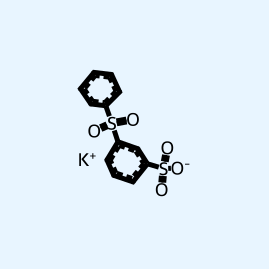 O=S(=O)([O-])c1cccc(S(=O)(=O)c2ccccc2)c1.[K+]